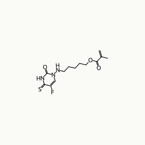 C=C(C)C(=O)OCCCCCNn1cc(F)c(=S)[nH]c1=O